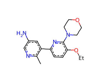 CCOc1ccc(-c2cc(N)cnc2C)nc1N1CCOCC1